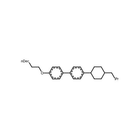 CCCCCCCCCCCCOc1ccc(-c2ccc(C3CCC(CC(C)C)CC3)cc2)cc1